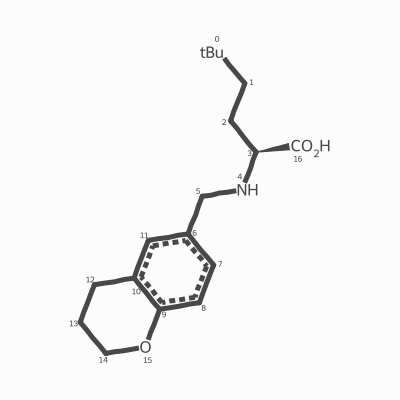 CC(C)(C)CC[C@H](NCc1ccc2c(c1)CCCO2)C(=O)O